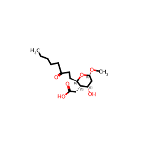 CCCCCC(=O)CC[C@H]1O[C@H](OC)C[C@H](O)[C@@H]1CC(=O)O